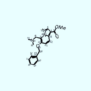 COC(=O)c1cnn2c(CN(C)C)c(OCc3ccccc3)ccc12